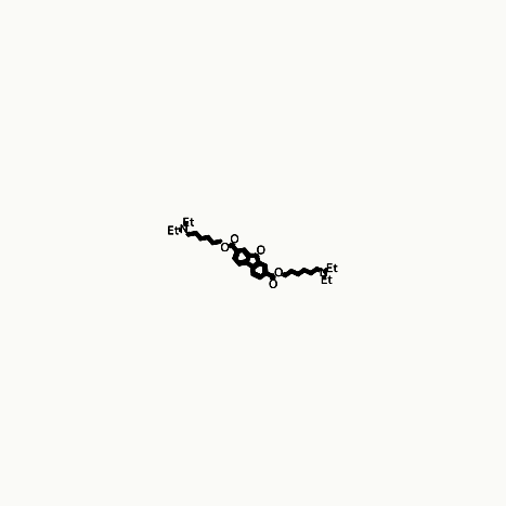 CCN(CC)CCCCCCOC(=O)c1ccc2c(c1)C(=O)c1cc(C(=O)OCCCCCCN(CC)CC)ccc1-2